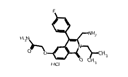 CC(C)Cn1c(CN)c(-c2ccc(F)cc2)c2cc(OCC(N)=O)ccc2c1=O.Cl